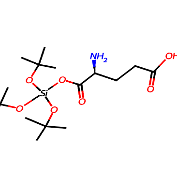 CC(C)(C)O[Si](OC(=O)[C@@H](N)CCC(=O)O)(OC(C)(C)C)OC(C)(C)C